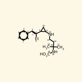 CC/C(=C\c1ccccc1)C1CC1NCCC(C)(C)NC(=O)O